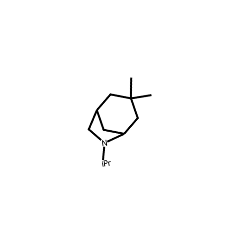 CC(C)N1CC2CC1CC(C)(C)C2